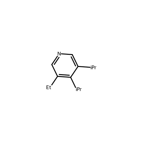 CCc1cncc(C(C)C)c1C(C)C